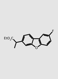 CCOC(=O)C(C)c1ccc2c(c1)oc1ccc(F)cc12